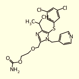 CC(C)c1nc(COCCOC(N)=O)n(Cc2ccncc2)c1Sc1cc(Cl)cc(Cl)c1